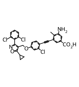 Cc1c(N)cc(C(=O)O)cc1C#Cc1ccc(OCc2c(-c3c(Cl)cccc3Cl)noc2C2CC2)cc1Cl